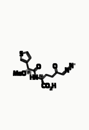 CO[C@@H](C(=O)N[C@@H](CCC(=O)C=[N+]=[N-])C(=O)O)c1ccsc1